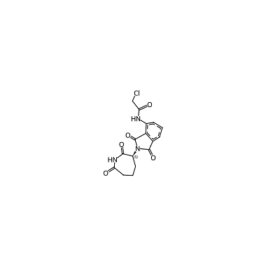 O=C1CCC[C@H](N2C(=O)c3cccc(NC(=O)CCl)c3C2=O)C(=O)N1